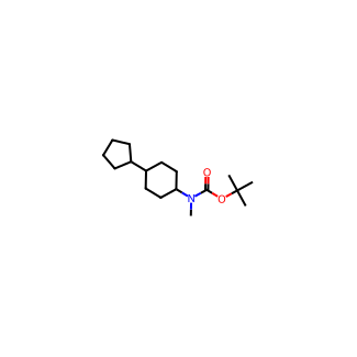 CN(C(=O)OC(C)(C)C)C1CCC(C2CCCC2)CC1